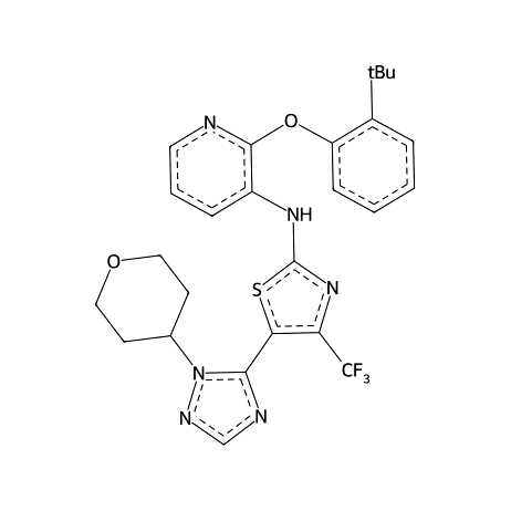 CC(C)(C)c1ccccc1Oc1ncccc1Nc1nc(C(F)(F)F)c(-c2ncnn2C2CCOCC2)s1